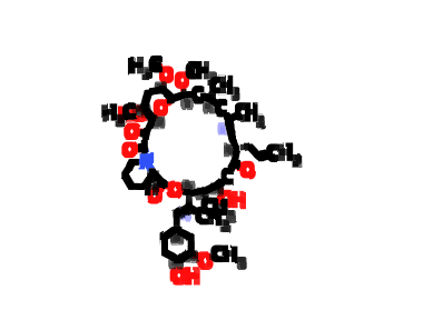 C=CC[C@H]1/C=C(\C)C[C@H](C)C[C@H](OC)C2O[C@@](O)(C(=O)C(=O)N3CCCC[C@H]3C(=O)O[C@H](/C(C)=C/[C@@H]3CC[C@@H](O)[C@H](OC)C3)[C@@H](C)[C@@H](O)CC1=O)[C@H](C)C[C@@H]2OC